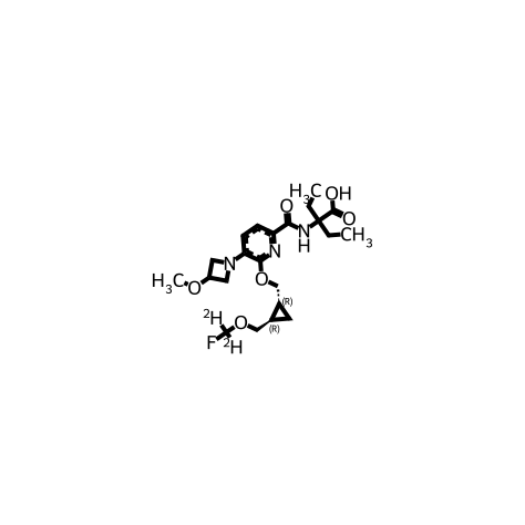 [2H]C([2H])(F)OC[C@@H]1C[C@H]1COc1nc(C(=O)NC(CC)(CC)C(=O)O)ccc1N1CC(OC)C1